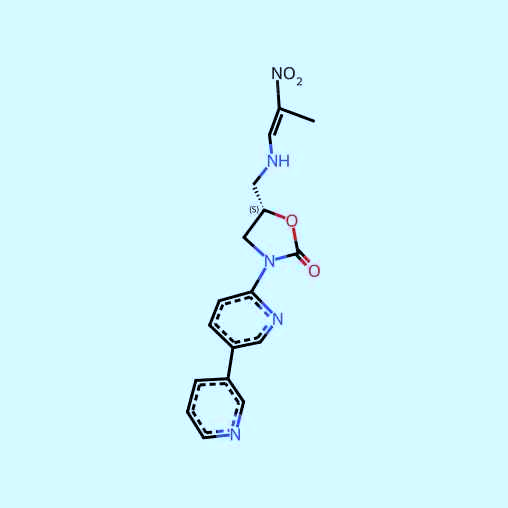 CC(=CNC[C@H]1CN(c2ccc(-c3cccnc3)cn2)C(=O)O1)[N+](=O)[O-]